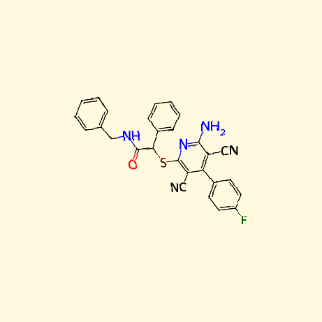 N#Cc1c(N)nc(SC(C(=O)NCc2ccccc2)c2ccccc2)c(C#N)c1-c1ccc(F)cc1